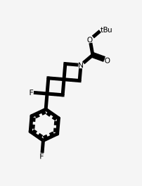 CC(C)(C)OC(=O)N1CC2(C1)CC(F)(c1ccc(F)cc1)C2